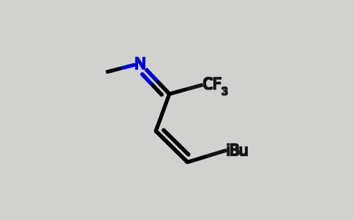 CCC(C)/C=C\C(=N/C)C(F)(F)F